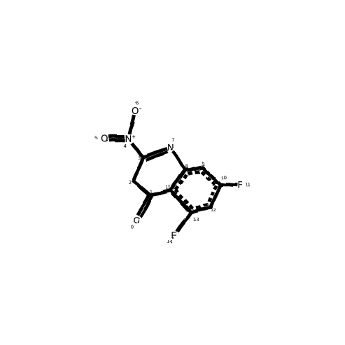 O=C1CC([N+](=O)[O-])=Nc2cc(F)cc(F)c21